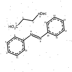 CCCCCCCCCCCCC(=O)O.c1ccc(N=Nc2ccccc2)cc1